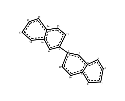 [c]1c(-c2[c]c3ccccc3cc2)ccc2ccccc12